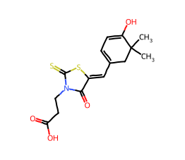 CC1(C)CC(/C=C2\SC(=S)N(CCC(=O)O)C2=O)=CC=C1O